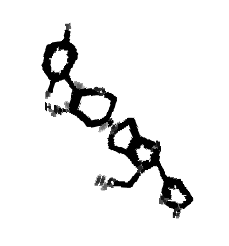 CCn1c(-c2cc[nH]n2)nc2c1CN([C@H]1CO[C@H](c3cc(F)ccc3F)[C@@H](N)C1)C2